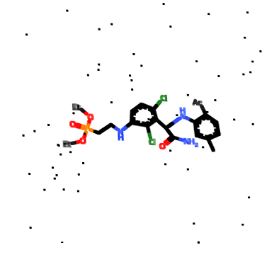 CCOP(=O)(CCNc1ccc(Cl)c(C(Nc2cc(C)ccc2C(C)=O)C(N)=O)c1Cl)OCC